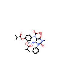 CC(C)C(=O)Oc1ccc(N(C(=O)O)c2c(N)n(-c3ccccc3)c(=O)n(C)c2=O)cc1OC(=O)C(C)C